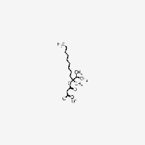 CCCCCCCCCC(C)(OC(=O)CC(=O)[O-])C(C)C.[Li+]